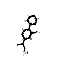 CC(CO)c1ccc(-c2ccccc2)c(F)c1